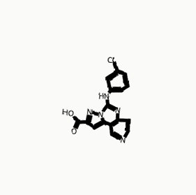 O=C(O)c1cc2c3cnccc3nc(Nc3cccc(Cl)c3)n2n1